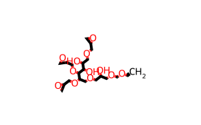 C=COCOCC(O)COCC(OCC1CO1)C(OCC1CO1)C(O)C(O)COCC1CO1